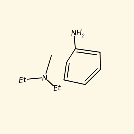 CCN(C)CC.Nc1ccccc1